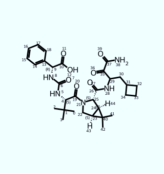 CC(C)(C)[C@H](NC(=O)N[C@@H](C(=O)O)c1ccccc1)C(=O)N1C[C@H]2[C@@H]([C@H]1C(=O)NC(CC1CCC1)C(=O)C(N)=O)C2(C)C